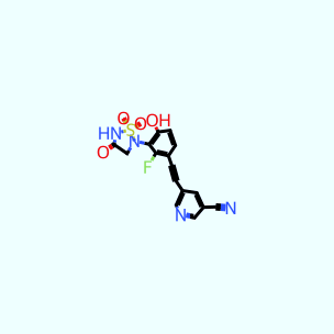 N#Cc1cncc(C#Cc2ccc(O)c(N3CC(=O)NS3(=O)=O)c2F)c1